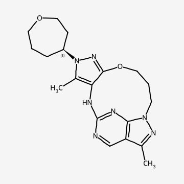 Cc1nn2c3nc(ncc13)Nc1c(nn([C@H]3CCCOCC3)c1C)OCCC2